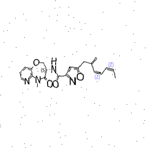 C=C(/C=C\C=C/C)Cc1cc(C(=O)N[C@H]2COc3cccnc3N(C)C2=O)no1